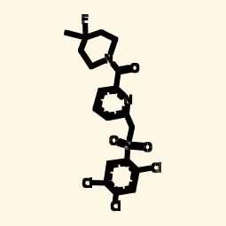 CC1(F)CCN(C(=O)c2cccc(CS(=O)(=O)c3cc(Cl)c(Cl)cc3Cl)n2)CC1